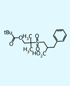 CC(C)(C)C(=O)OCC(C)(C)S(=O)(=O)CC(Cc1ccccc1)C(=O)O